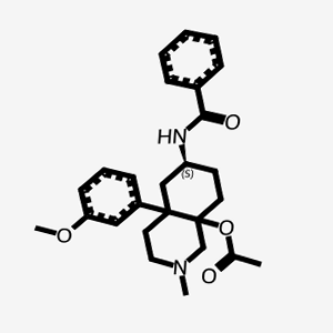 COc1cccc(C23CCN(C)CC2(OC(C)=O)CC[C@H](NC(=O)c2ccccc2)C3)c1